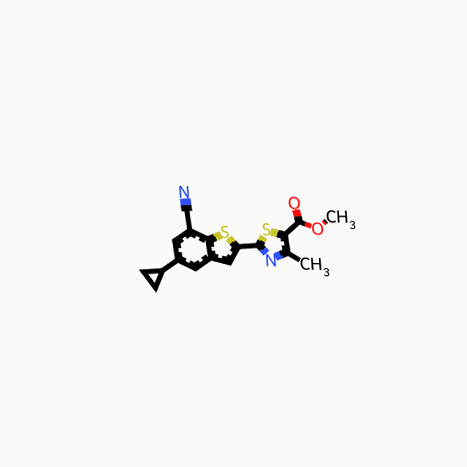 COC(=O)c1sc(-c2cc3cc(C4CC4)cc(C#N)c3s2)nc1C